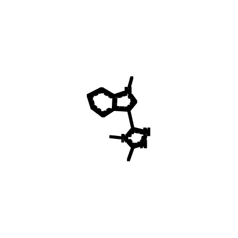 Cc1nnc(-c2cn(C)c3ccccc23)n1C